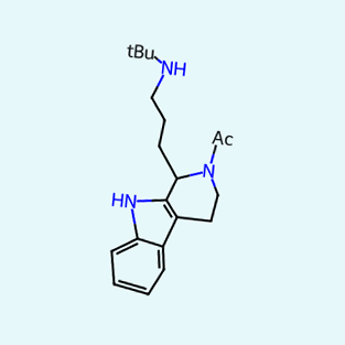 CC(=O)N1CCc2c([nH]c3ccccc23)C1CCCNC(C)(C)C